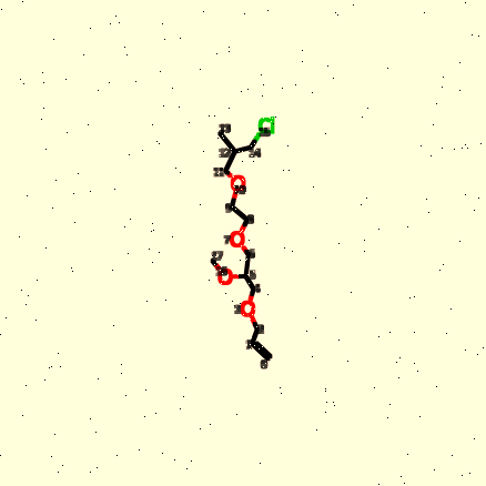 C=CCOCC(COCCOCC(C)CCl)OC